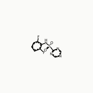 O=S(=O)(Nc1c(F)cccc1F)c1ncncn1